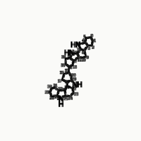 c1ccc2c(c1)[nH]c1c2ccc2c3cc(-c4ccc5c(c4)[nH]c4ccc6[nH]c7ccccc7c6c45)ccc3[nH]c21